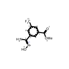 COC(=O)c1cc(/C(N)=N/O)cc(C(F)(F)F)c1